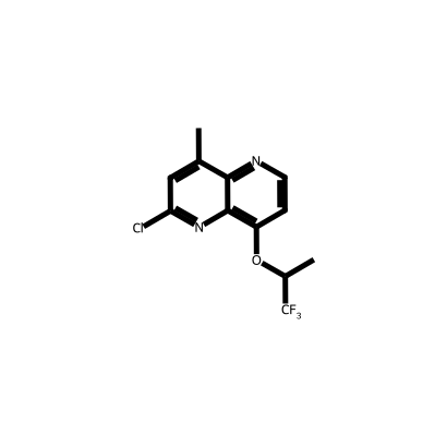 Cc1cc(Cl)nc2c(OC(C)C(F)(F)F)ccnc12